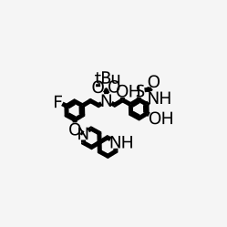 CC(C)(C)OC(=O)N(CCc1cc(F)cc(ON2CCC3(CCCNC3)CC2)c1)CC(O)c1ccc(O)c2[nH]c(=O)sc12